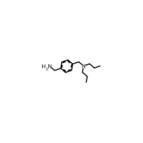 CCCN(CCC)Cc1ccc(CN)cc1